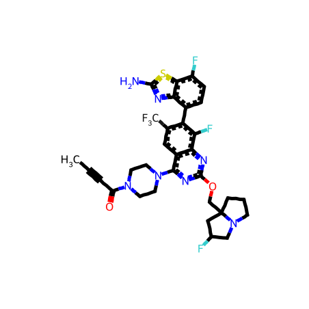 CC#CC(=O)N1CCN(c2nc(OCC34CCCN3CC(F)C4)nc3c(F)c(-c4ccc(F)c5sc(N)nc45)c(C(F)(F)F)cc23)CC1